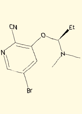 CC[C@H](Oc1cc(Br)cnc1C#N)N(C)C